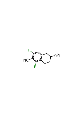 CCCC1CCc2c(cc(F)c(C#N)c2F)C1